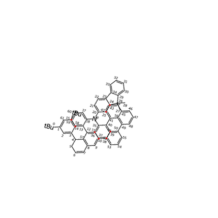 CC(C)(C)c1cc(C2CC=Cc3cccc(-c4ccccc4N(c4ccc5c(c4)C(C)(C)c4ccccc4-5)c4ccccc4-c4cccc5cccc(-c6ccccc6)c45)c32)cc(C(C)(C)C)c1